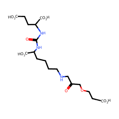 O=C(O)CCOCC(=O)CNCCCCC(NC(=O)NC(CCC(=O)O)C(=O)O)C(=O)O